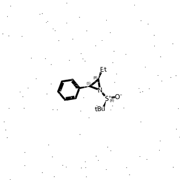 CC[C@@H]1[C@H](c2ccccc2)N1[S@@+]([O-])C(C)(C)C